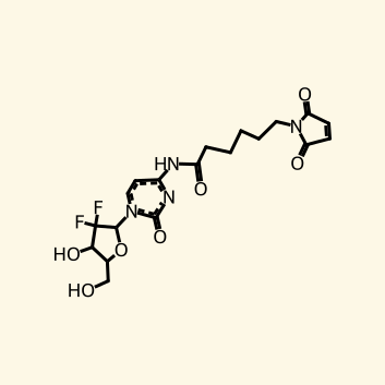 O=C(CCCCCN1C(=O)C=CC1=O)Nc1ccn(C2OC(CO)C(O)C2(F)F)c(=O)n1